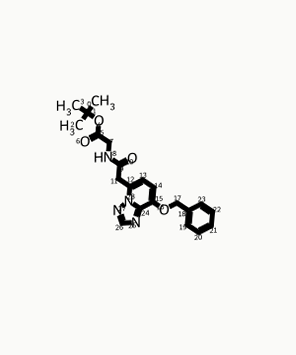 CC(C)(C)OC(=O)CNC(=O)Cc1ccc(OCc2ccccc2)c2ncnn12